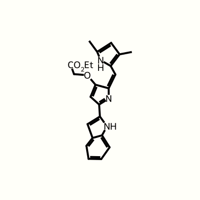 CCOC(=O)COC1=CC(c2cc3ccccc3[nH]2)=N/C1=C/c1[nH]c(C)cc1C